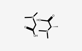 CN(C)CC(=O)O.C[C@@H](C(=O)O)N(C)C